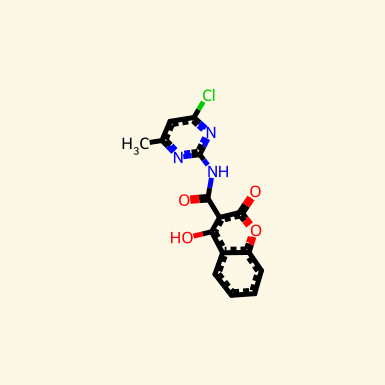 Cc1cc(Cl)nc(NC(=O)c2c(O)c3ccccc3oc2=O)n1